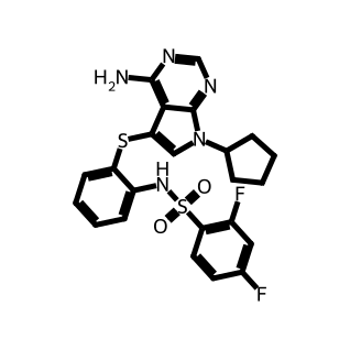 Nc1ncnc2c1c(Sc1ccccc1NS(=O)(=O)c1ccc(F)cc1F)cn2C1CCCC1